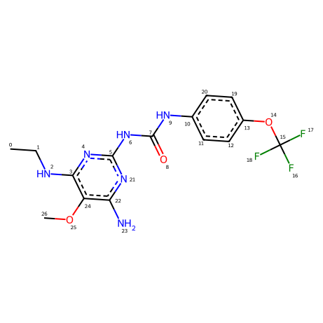 CCNc1nc(NC(=O)Nc2ccc(OC(F)(F)F)cc2)nc(N)c1OC